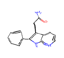 NC(=O)Cc1c(-c2ccccc2)[nH]c2ncccc12